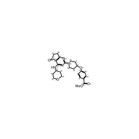 COC(=O)c1ccc(OC2CCN(c3nc4c(c(NC5CCOCC5)n3)[S+]([O-])CC4)CC2)cc1